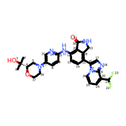 CC(C)(O)[C@@H]1CN(c2ccc(Nc3ccc(-c4cnc5c(C(F)F)cccn45)c4c3C(=O)NC4)nc2)CCO1